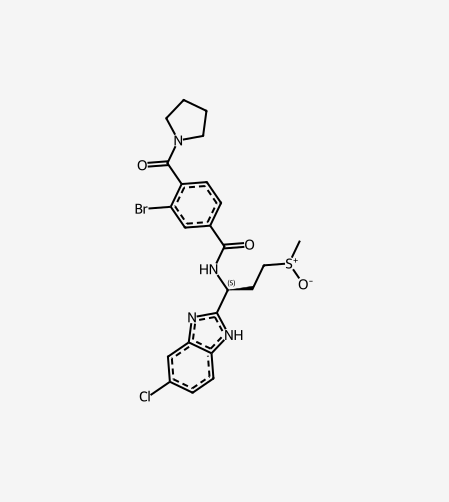 C[S+]([O-])CC[C@H](NC(=O)c1ccc(C(=O)N2CCCC2)c(Br)c1)c1nc2cc(Cl)ccc2[nH]1